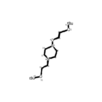 CC(C)(C)OCCON1CCN(CCOC(C)(C)C)CC1